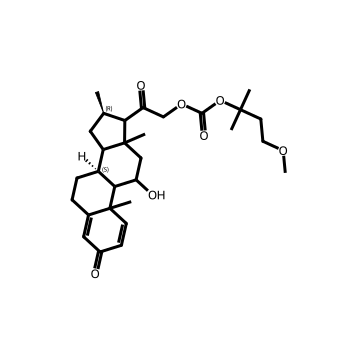 COCCC(C)(C)OC(=O)OCC(=O)C1[C@H](C)CC2[C@@H]3CCC4=CC(=O)C=CC4(C)C3C(O)CC21C